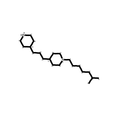 CC(C)CCCCCN1CCC(CCCC2CCNCC2)CC1